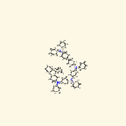 CC1(C)c2ccccc2-c2ccc(N(c3ccccc3)c3ccc(N(c4ccccc4)c4ccc(N(c5ccccc5)c5ccc(-c6ccc(N(c7ccccc7)c7ccccc7)cc6)cc5)cc4)cc3)cc21